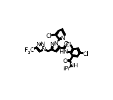 CC(C)NC(=O)c1cc(Cl)cc(Cl)c1NC(=O)c1cc(Cn2cc(C(F)(F)F)nn2)nn1-c1ncccc1Cl